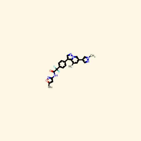 Cn1cc(-c2cc(C#N)c3c(-c4ccc(C(F)(F)C(=O)Nc5cc(C(C)(C)C)on5)cc4)cnn3c2)cn1